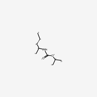 CCCC(C)NC(=O)OC(C)C